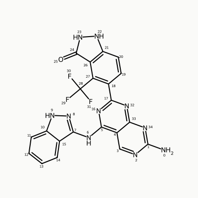 Nc1ncc2c(Nc3n[nH]c4ccccc34)nc(-c3ccc4[nH][nH]c(=O)c4c3C(F)(F)F)nc2n1